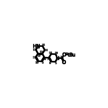 CC(C)(C)OC(=O)N1CC=C(c2cccc3c2CCNC3)CC1